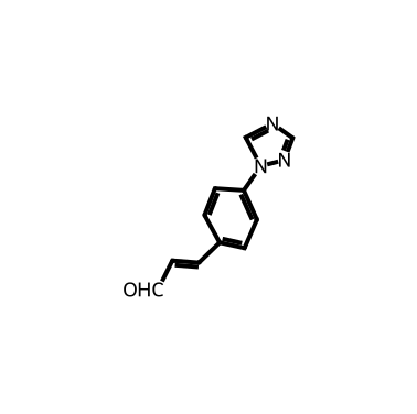 O=CC=Cc1ccc(-n2cncn2)cc1